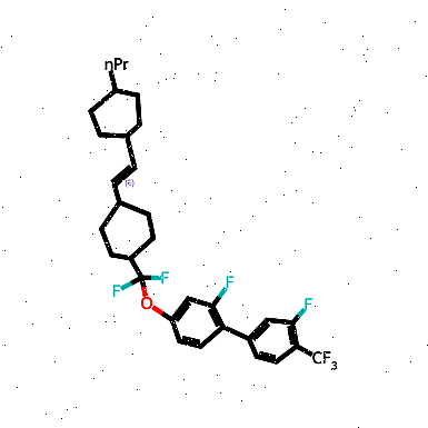 CCCC1CCC(/C=C/C2CCC(C(F)(F)Oc3ccc(-c4ccc(C(F)(F)F)c(F)c4)c(F)c3)CC2)CC1